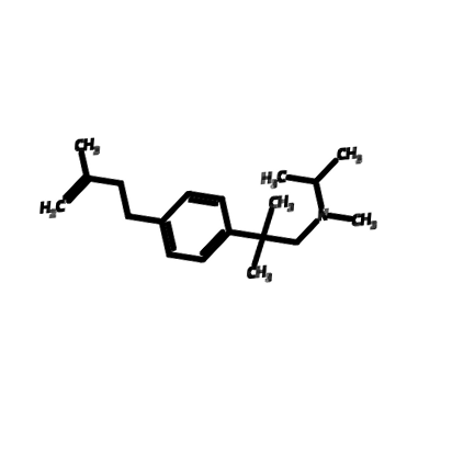 C=C(C)CCc1ccc(C(C)(C)CN(C)C(C)C)cc1